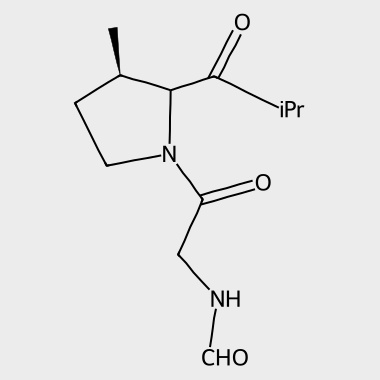 CC(C)C(=O)C1[C@H](C)CCN1C(=O)CNC=O